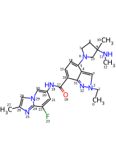 CCn1cc2c(N3CCC(C)(NC)C3)ccc(C(=O)Nc3cc(F)c4nc(C)cn4c3)c2n1